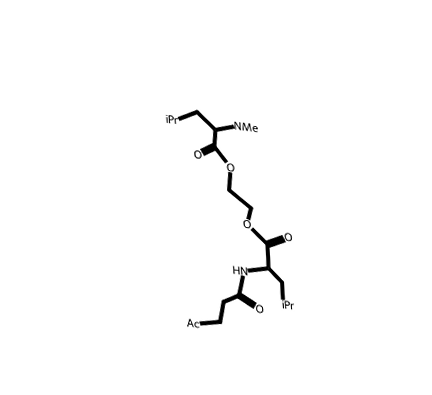 CNC(CC(C)C)C(=O)OCCOC(=O)C(CC(C)C)NC(=O)CCC(C)=O